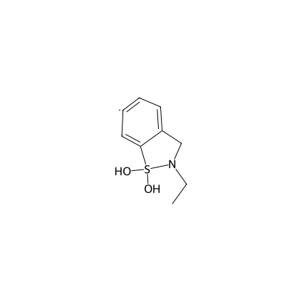 CCN1Cc2cc[c]cc2S1(O)O